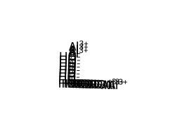 [Al+3].[Al+3].[Al+3].[Al+3].[Al+3].[Al+3].[OH-].[OH-].[OH-].[OH-].[OH-].[OH-].[OH-].[OH-].[OH-].[OH-].[OH-].[OH-].[OH-].[OH-].[OH-].[OH-].[OH-].[OH-]